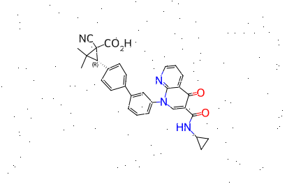 CC1(C)[C@@H](c2ccc(-c3cccc(-n4cc(C(=O)NC5CC5)c(=O)c5cccnc54)c3)cc2)C1(C#N)C(=O)O